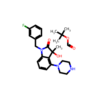 CC(C)(C)OC=O.CC1(O)C(=O)N(Cc2cccc(F)c2)c2cccc(N3CCNCC3)c21